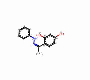 CC(=NNc1ccccc1)c1ccc(O)cc1O